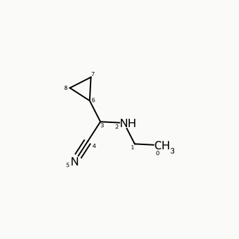 CCNC(C#N)C1CC1